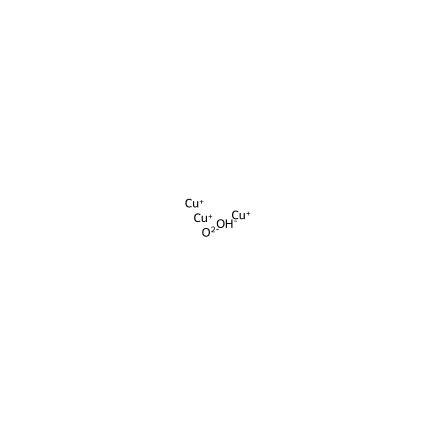 [Cu+].[Cu+].[Cu+].[O-2].[OH-]